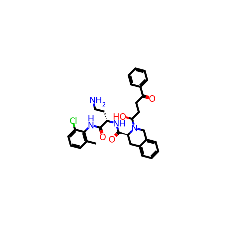 Cc1cccc(Cl)c1NC(=O)[C@H](CCN)NC(=O)[C@@H]1Cc2ccccc2CN1C(O)CCC(=O)c1ccccc1